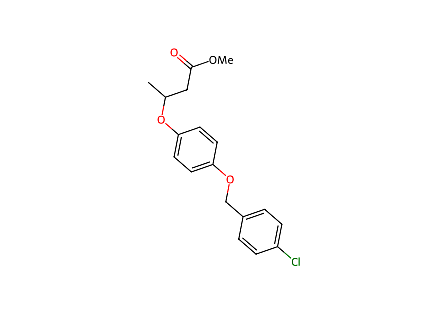 COC(=O)CC(C)Oc1ccc(OCc2ccc(Cl)cc2)cc1